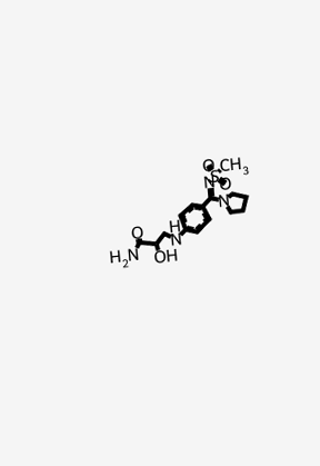 CS(=O)(=O)N=C(c1ccc(NCC(O)C(N)=O)cc1)N1CCCC1